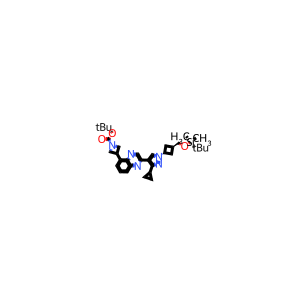 CC(C)(C)OC(=O)N1CC(c2cccc3nc(-c4cn([C@H]5C[C@H](CO[Si](C)(C)C(C)(C)C)C5)nc4C4CC4)cnc23)C1